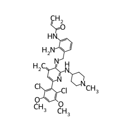 C=CC(=O)Nc1cccc(C/N=C2/C(=C)C=C(c3c(Cl)c(OC)cc(OC)c3Cl)N=C2NC2CCN(C)CC2)c1N